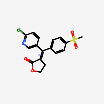 CS(=O)(=O)c1ccc(/C(=C2\CCOC2=O)c2ccc(Cl)nc2)cc1